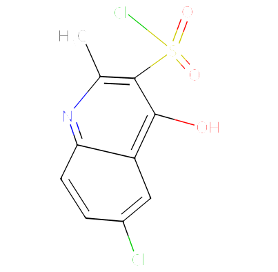 Cc1nc2ccc(Cl)cc2c(O)c1S(=O)(=O)Cl